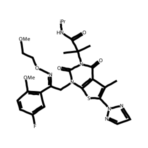 COCCO/N=C(/Cn1c(=O)n(C(C)(C)C(=O)NC(C)C)c(=O)c2c(C)c(-n3nccn3)sc21)c1cc(F)ccc1OC